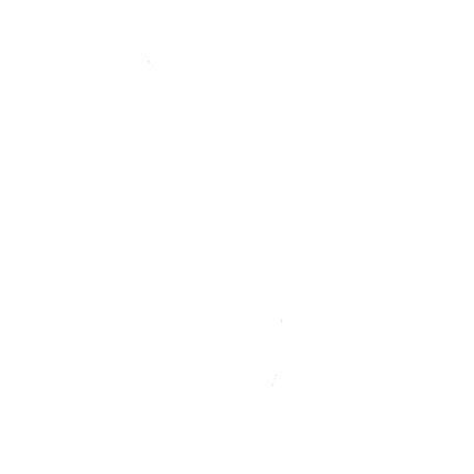 CCCCCCCCC1CCC(C2CCC(C(=O)OC3CCC(CC)CC3)CC2)CC1